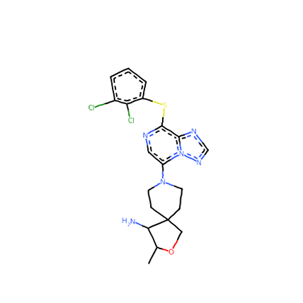 CC1OCC2(CCN(c3cnc(Sc4cccc(Cl)c4Cl)c4ncnn34)CC2)C1N